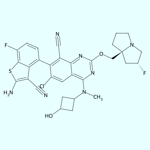 CN(c1nc(OC[C@@]23CCCN2C[C@H](F)C3)nc2c(C#N)c(-c3ccc(F)c4sc(N)c(C#N)c34)c(Cl)cc12)C1CC(O)C1